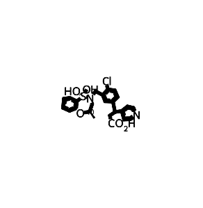 C[C@@H]1CN(Cc2cc(C(CC(=O)O)c3ccncc3)ccc2Cl)S(O)(O)c2ccccc2O1